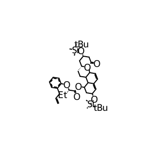 C=CCc1ccccc1O[C@@H](CC)C(=O)OC1CC(O[Si](C)(C)C(C)(C)C)C=C2C=CC(C)C(CC[C@@H]3C[C@@H](O[Si](C)(C)C(C)(C)C)CC(=O)O3)C21